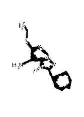 CCSc1nn2nc(-c3ccccc3)[nH]c2c1N